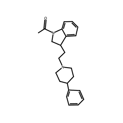 CC(=O)N1CC(CCN2CCC(c3ccccc3)CC2)c2ccccc21